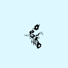 CCCCN1C(=O)[C@@H](CC2(O)CCCCC2)NC(=O)C12CCN(Cc1ccc(Oc3ccc(F)cc3)cc1)CC2.Cl